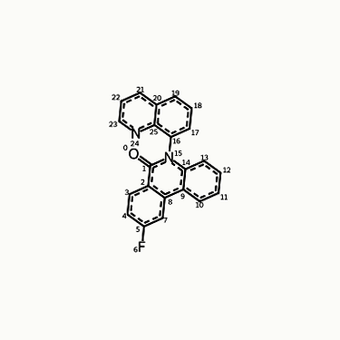 O=c1c2ccc(F)cc2c2ccccc2n1-c1cccc2cccnc12